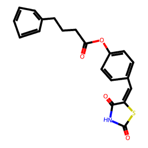 O=C(CCCc1ccccc1)Oc1ccc(C=C2SC(=O)NC2=O)cc1